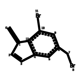 C=C1C=Cc2cc(CBr)cc(Br)c21